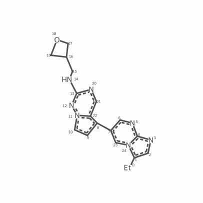 CCc1cnc2ncc(-c3ccn4nc(NCC5COC5)ncc34)cn12